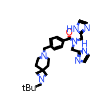 CC(C)(C)CN1CC2(CCN(Cc3ccc(C(=O)N(Cc4ncc[nH]4)Cc4ncc[nH]4)cc3)CC2)C1